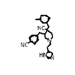 Cc1cccc(CC2(C#N)CCN(CCc3cnc[nH]3)CC2Cc2ccc(C#N)cc2)c1